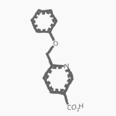 O=C(O)c1ccc(COc2ccccc2)nc1